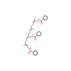 C/C(=C/CC/C(C)=C/CC/C(=C/CC/C(C)=C/COC(=O)c1ccccc1)COC(=O)c1ccccc1)COC(=O)c1ccccc1